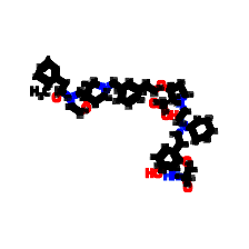 Cc1ccccc1CC(=O)N1CCOC2(CCN(Cc3cccc(CCOC4CCN(CCN(CCc5ccc(O)c6c5OCC(=O)N6)C5CCCCC5)[C@@H]4C(=O)O)c3)CC2)C1